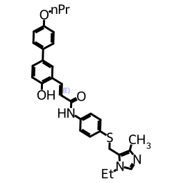 CCCOc1ccc(-c2ccc(O)c(/C=C/C(=O)Nc3ccc(SCc4c(C)ncn4CC)cc3)c2)cc1